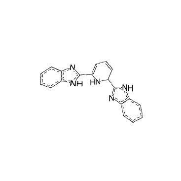 C1=CC(c2nc3ccccc3[nH]2)NC(c2nc3ccccc3[nH]2)=C1